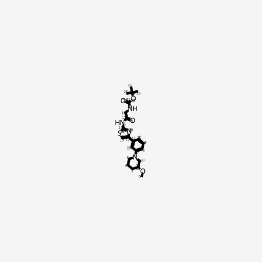 CO[C@H]1CCCN(c2cccc(-c3csc(NC(=O)CNC(=O)OC(C)(C)C)n3)c2)C1